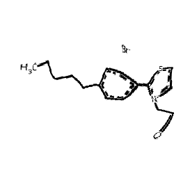 CCCCCc1ccc(-c2scc[n+]2CC=O)cc1.[Br-]